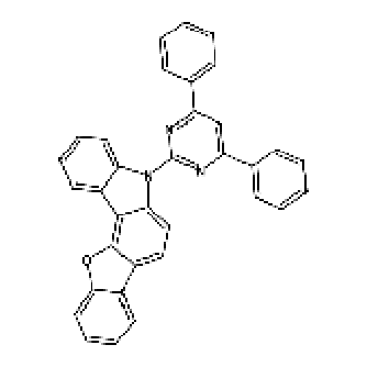 c1ccc(-c2cc(-c3ccccc3)nc(-n3c4ccccc4c4c5oc6ccccc6c5ccc43)n2)cc1